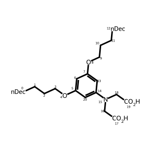 CCCCCCCCCCCCCOc1cc(OCCCCCCCCCCCCC)cc(N(CC(=O)O)CC(=O)O)c1